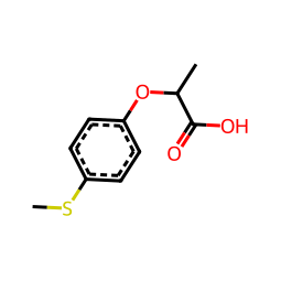 CSc1ccc(OC(C)C(=O)O)cc1